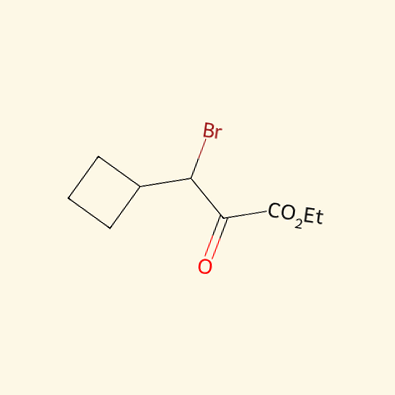 CCOC(=O)C(=O)C(Br)C1CCC1